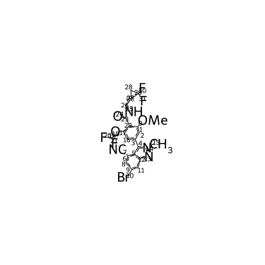 COc1cc(-c2c3c(C#N)cc(Br)cc3nn2C)cc(OC(F)F)c1C(=O)NC[C@H]1CC1(F)F